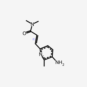 Cc1nc(/C=C/C(=O)N(C)C)ccc1N